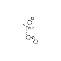 C#CC(CCC)(CCCc1cccc(Oc2ccccc2)c1)c1ccc(Cl)cc1